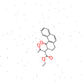 CCOC(=O)C(C(C)=O)C1CCc2ccc3ccccc3c2C1=O